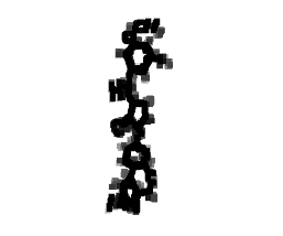 COc1cc(F)cc(NC2CCN(c3ccc4c(n3)OCc3n[nH]cc3-4)C2=O)c1